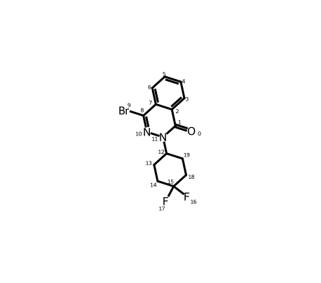 O=c1c2ccccc2c(Br)nn1C1CCC(F)(F)CC1